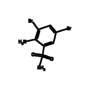 Nc1c(Br)cc(Br)cc1S(N)(=O)=O